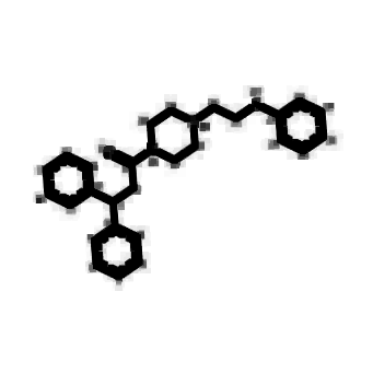 O=C(CC(c1ccccc1)c1ccccc1)N1CCN(CCSc2ccccc2)CC1